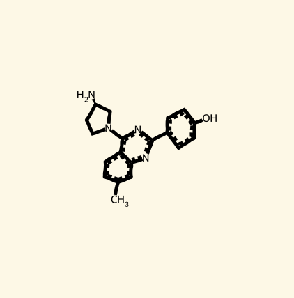 Cc1ccc2c(N3CC[C@@H](N)C3)nc(-c3ccc(O)cc3)nc2c1